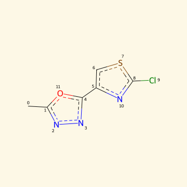 Cc1nnc(-c2csc(Cl)n2)o1